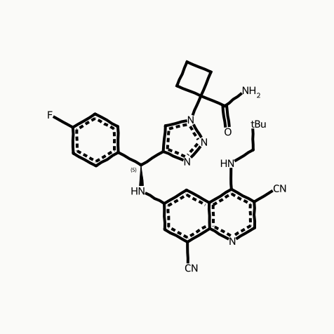 CC(C)(C)CNc1c(C#N)cnc2c(C#N)cc(N[C@@H](c3ccc(F)cc3)c3cn(C4(C(N)=O)CCC4)nn3)cc12